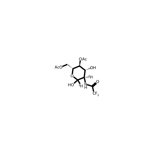 [2H]C1(O)O[C@H](COC(C)=O)[C@@H](OC(C)=O)[C@H](O)[C@@]1([2H])NC(=O)C(F)(F)F